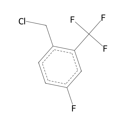 Fc1ccc(CCl)c(C(F)(F)F)c1